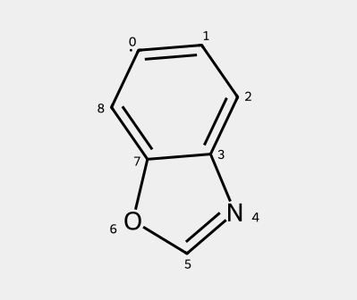 [c]1ccc2ncoc2c1